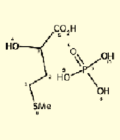 CSCCC(O)C(=O)O.O=P(O)(O)O